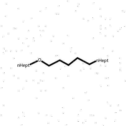 CCCCCCCCCCCCOCCCCCCC